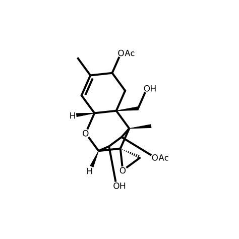 CC(=O)OC1C[C@@]2(CO)[C@@H](C=C1C)O[C@@H]1C(O)C(OC(C)=O)[C@@]2(C)[C@]12CO2